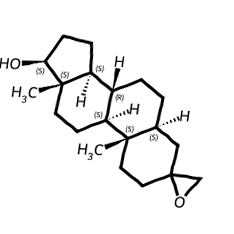 C[C@]12CCC3(CO3)C[C@@H]1CC[C@@H]1[C@@H]2CC[C@]2(C)[C@@H](O)CC[C@@H]12